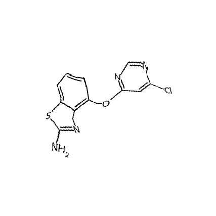 Nc1nc2c(Oc3cc(Cl)ncn3)cccc2s1